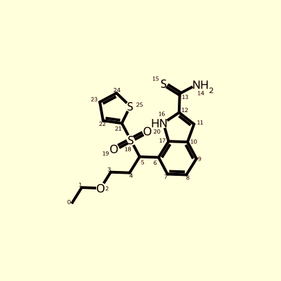 CCOCCC(c1cccc2cc(C(N)=S)[nH]c12)S(=O)(=O)c1cccs1